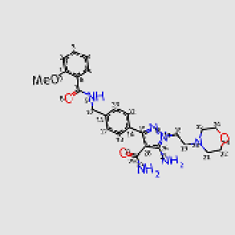 COc1ccccc1C(=O)NCc1ccc(-c2nn(CCN3CCOCC3)c(N)c2C(N)=O)cc1